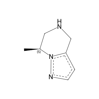 C[C@H]1CNCc2ccnn21